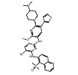 COc1nc(N2CCC(N(C)C)CC2)c(-c2ccsc2)cc1Nc1ncc(Br)c(Nc2ccc3nccnc3c2P(C)(C)=O)n1